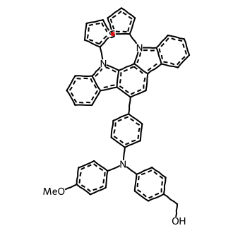 COc1ccc(N(c2ccc(CO)cc2)c2ccc(-c3cc4c5ccccc5n(-c5cccs5)c4c4c3c3ccccc3n4-c3cccs3)cc2)cc1